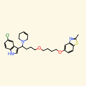 Cc1nc2cc(OCCCCOCCCC(c3c[nH]c4ccc(Cl)cc34)N3CC=CCC3)ccc2s1